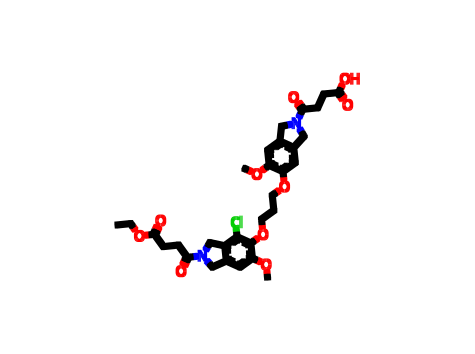 CCOC(=O)CCC(=O)N1Cc2cc(OC)c(OCCCOc3cc4c(cc3OC)CN(C(=O)CCC(=O)O)C4)c(Cl)c2C1